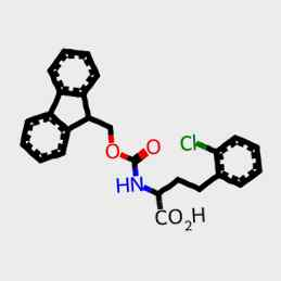 O=C(NC(CCc1ccccc1Cl)C(=O)O)OCC1c2ccccc2-c2ccccc21